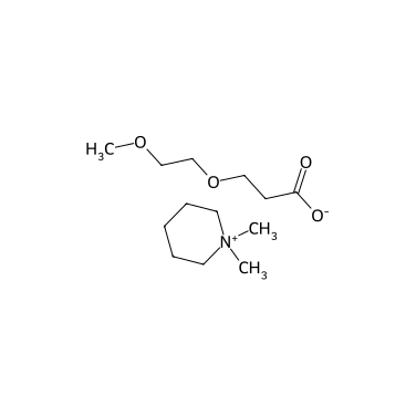 COCCOCCC(=O)[O-].C[N+]1(C)CCCCC1